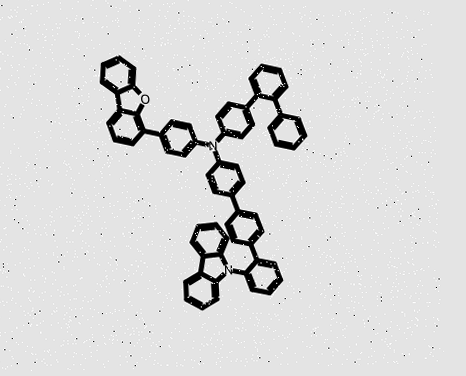 c1ccc(-c2ccccc2-c2ccc(N(c3ccc(-c4ccc(-c5ccccc5-n5c6ccccc6c6ccccc65)cc4)cc3)c3ccc(-c4cccc5c4oc4ccccc45)cc3)cc2)cc1